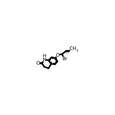 C/C=C/C(Br)Oc1ccc2c(c1)NC(=O)CC2